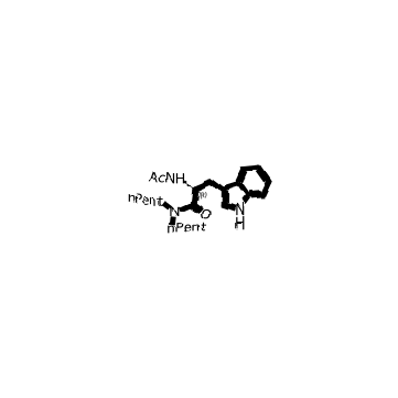 CCCCCN(CCCCC)C(=O)[C@@H](Cc1c[nH]c2ccccc12)NC(C)=O